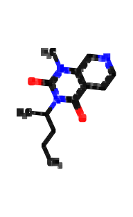 CCCC(C)n1c(=O)c2ccncc2n(C)c1=O